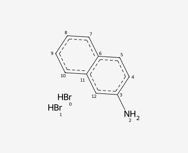 Br.Br.Nc1ccc2ccccc2c1